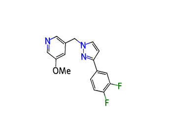 COc1cncc(Cn2ccc(-c3ccc(F)c(F)c3)n2)c1